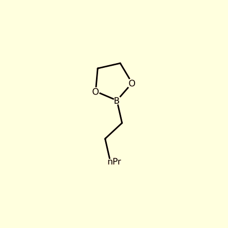 [CH2]CCCCB1OCCO1